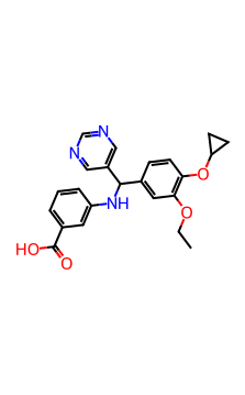 CCOc1cc(C(Nc2cccc(C(=O)O)c2)c2cncnc2)ccc1OC1CC1